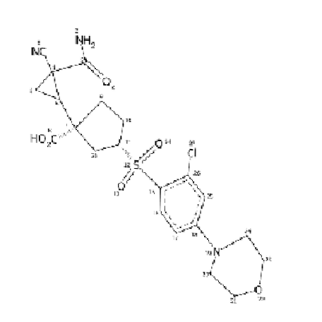 N#CC1(C(N)=O)CC1[C@@]1(C(=O)O)CC[C@H](S(=O)(=O)c2ccc(N3CCOCC3)cc2Cl)C1